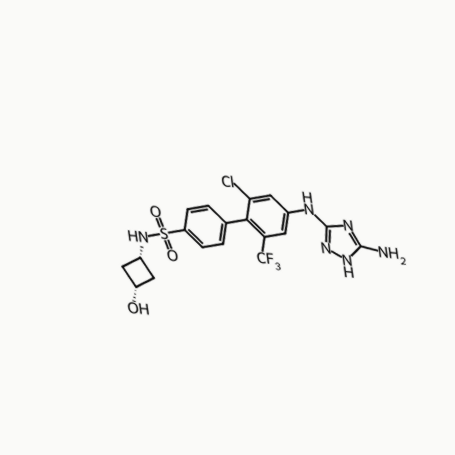 Nc1nc(Nc2cc(Cl)c(-c3ccc(S(=O)(=O)N[C@H]4C[C@@H](O)C4)cc3)c(C(F)(F)F)c2)n[nH]1